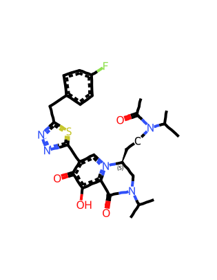 CC(=O)N(CC[C@H]1CN(C(C)C)C(=O)c2c(O)c(=O)c(-c3nnc(Cc4ccc(F)cc4)s3)cn21)C(C)C